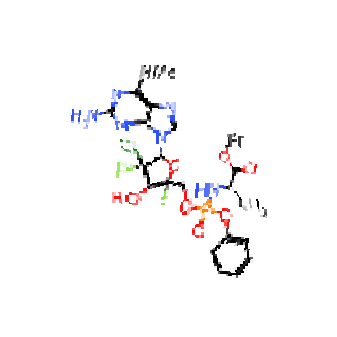 CNc1nc(N)nc2c1ncn2[C@@H]1O[C@](F)(COP(=O)(N[C@@H](C)C(=O)OC(C)C)Oc2ccccc2)[C@@H](O)[C@]1(F)Cl